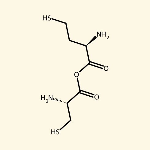 N[C@H](CCS)C(=O)OC(=O)[C@@H](N)CS